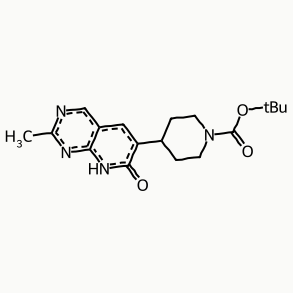 Cc1ncc2cc(C3CCN(C(=O)OC(C)(C)C)CC3)c(=O)[nH]c2n1